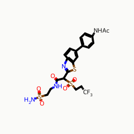 CC(=O)Nc1ccc(-c2ccc3nc(C(C(=O)NCCS(N)(=O)=O)S(=O)(=O)CCC(F)(F)F)sc3c2)cc1